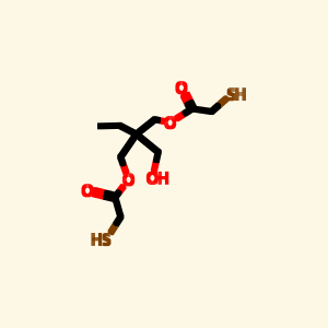 CCC(CO)(COC(=O)CS)COC(=O)CS